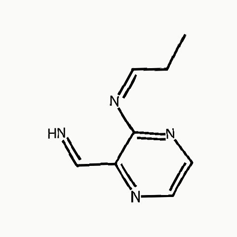 CC/C=N\c1nccnc1C=N